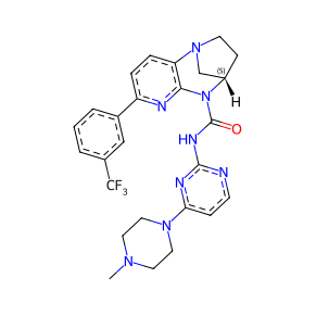 CN1CCN(c2ccnc(NC(=O)N3c4nc(-c5cccc(C(F)(F)F)c5)ccc4N4CC[C@H]3C4)n2)CC1